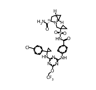 NC(=O)[C@@H]1C[C@@H]2C[C@@H]2N1CC1(S(=O)(=O)NC(=O)c2ccc(Nc3nc(NC4(c5ccc(Cl)cc5)CC4)nc(OCC(F)(F)F)n3)cc2)CC1